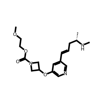 CN[C@@H](C)C/C=C/c1cncc(OC2CN(C(=O)OCCOC)C2)c1